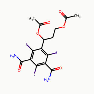 CC(=O)OCCC(OC(C)=O)c1c(I)c(C(N)=O)c(I)c(C(N)=O)c1I